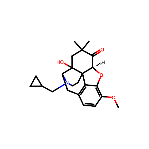 COc1ccc2c3c1O[C@@H]1C(=O)C(C)(C)CC4(O)C(C2)N(CC2CC2)CCC314